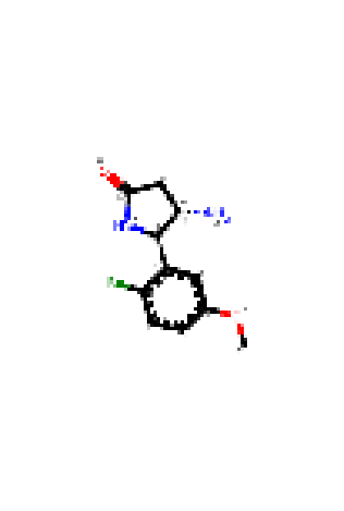 COc1ccc(F)c([C@H]2NC(=O)C[C@@H]2N)c1